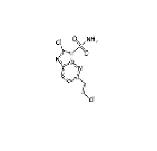 NS(=O)(=O)c1c(Cl)nc2ccc(C=CCl)nn12